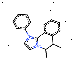 CC1c2ccccc2-c2n(-c3ccccc3)cc[n+]2C1C